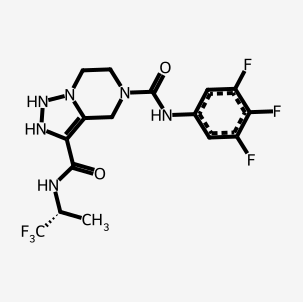 C[C@@H](NC(=O)C1=C2CN(C(=O)Nc3cc(F)c(F)c(F)c3)CCN2NN1)C(F)(F)F